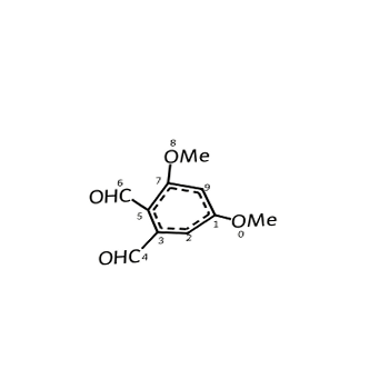 COc1cc(C=O)c(C=O)c(OC)c1